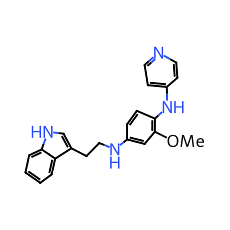 COc1cc(NCCc2c[nH]c3ccccc23)ccc1Nc1ccncc1